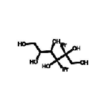 CC(C)[C@@](O)([C@H](O)[C@@H](O)CO)[C@](O)(CO)C(C)C